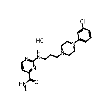 CNC(=O)c1ccnc(NCCCN2CCN(c3cccc(Cl)c3)CC2)n1.Cl